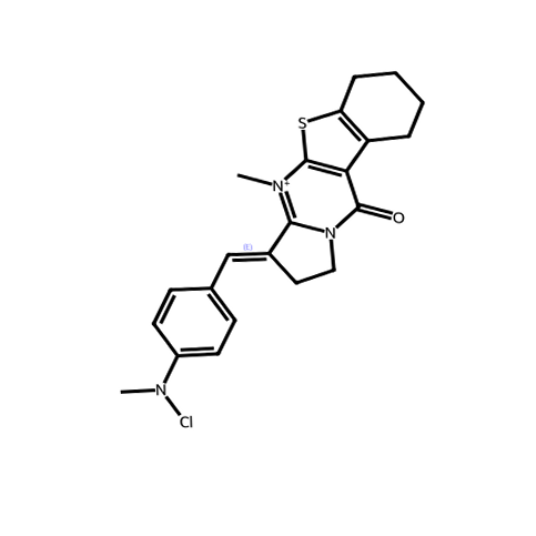 CN(Cl)c1ccc(/C=C2\CCn3c2[n+](C)c2sc4c(c2c3=O)CCCC4)cc1